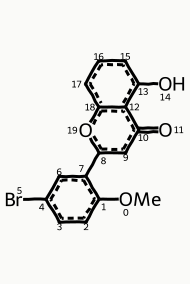 COc1ccc(Br)cc1-c1cc(=O)c2c(O)cccc2o1